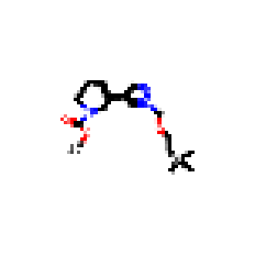 CC(C)(C)OC(=O)N1CCC=C(c2cnn(COCC[Si](C)(C)C)c2)C1